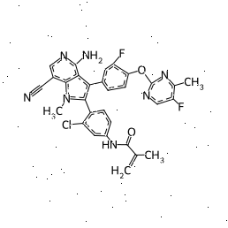 C=C(C)C(=O)Nc1ccc(-c2c(-c3ccc(Oc4ncc(F)c(C)n4)c(F)c3)c3c(N)ncc(C#N)c3n2C)c(Cl)c1